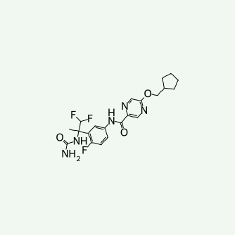 CC(NC(N)=O)(c1cc(NC(=O)c2cnc(OCC3CCCC3)cn2)ccc1F)C(F)F